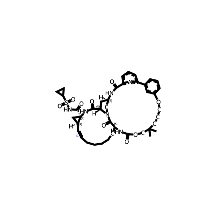 CC1(C)CCCOc2cccc(c2)-c2cccc(n2)C(=O)N[C@@H]2C[C@H]3C(=O)N[C@]4(C(=O)NS(=O)(=O)C5CC5)C[C@@H]4/C=C\CCCCC[C@H](NC(=O)OC1)C(=O)N3C2